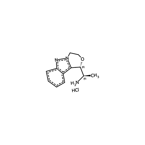 C[C@@H](N)[C@H]1OCCn2nc3ccccc3c21.Cl